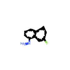 N=Nc1cccc2ccc(F)cc12